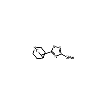 CSc1nsc(C2CN3CCC2CC3)n1